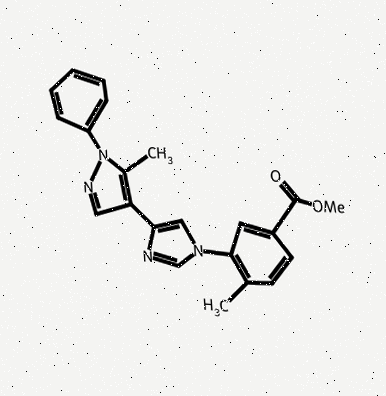 COC(=O)c1ccc(C)c(-n2cnc(-c3cnn(-c4ccccc4)c3C)c2)c1